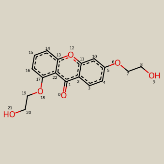 O=c1c2ccc(OCCO)cc2oc2cccc(OCCO)c12